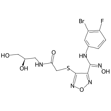 O=C(CSc1nonc1/C(=N\O)Nc1ccc(F)c(Br)c1)NC[C@@H](O)CO